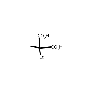 [CH2]CC(C)(C(=O)O)C(=O)O